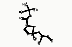 CC(C)(C)OC(=O)N1C=CC(O)(CC(Br)CBr)C1